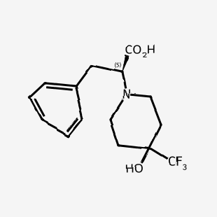 O=C(O)[C@H](Cc1ccccc1)N1CCC(O)(C(F)(F)F)CC1